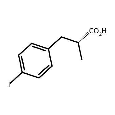 C[C@H](Cc1ccc(I)cc1)C(=O)O